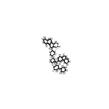 CC1C=c2c(-c3ccc(-c4cccc(N(c5cccc(-c6ccccc6)c5)c5ccc6ccc7ccccc7c6c5)c4)cc3)cc3c(ccc4ccccc43)c2=CC1